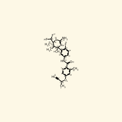 C#C[C@H](C)Oc1cnc(C(=O)Nc2ccc(F)c([C@@]3(C)N=C(N)S[C@](C)(C(F)F)C3C)c2)c(C)c1